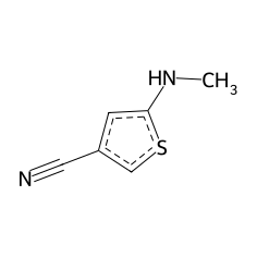 CNc1cc(C#N)cs1